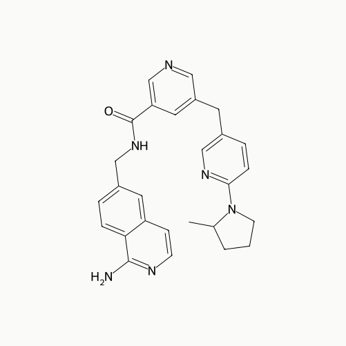 CC1CCCN1c1ccc(Cc2cncc(C(=O)NCc3ccc4c(N)nccc4c3)c2)cn1